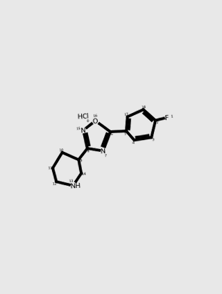 Cl.Fc1ccc(-c2nc(C3CCCNC3)no2)cc1